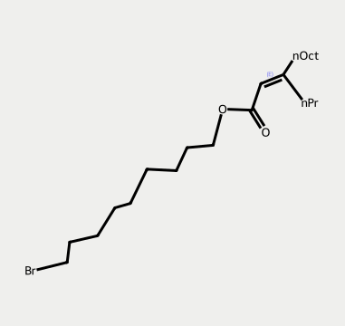 CCCCCCCC/C(=C/C(=O)OCCCCCCCCCBr)CCC